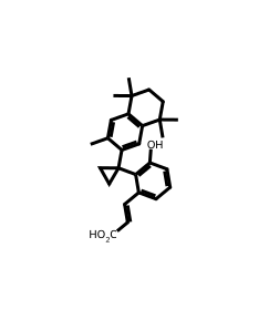 Cc1cc2c(cc1C1(c3c(O)cccc3C=CC(=O)O)CC1)C(C)(C)CCC2(C)C